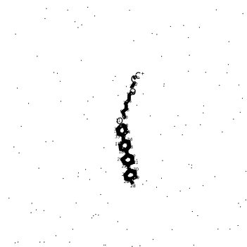 [CH2+][CH-]CCOCCCCCCOc1ccc(-c2ccc(-c3ccc(-c4ccc(C)cc4)cc3)cc2)cc1